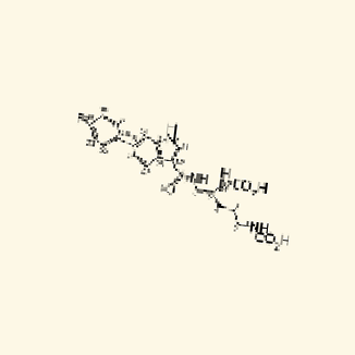 O=C(O)NCCC[C@@H](CNC(=O)c1c[nH]c2cc(-c3ccc(F)cc3)ccc12)NC(=O)O